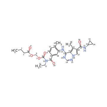 CCCC(=O)OCOC(=O)N(CC)C(=O)c1ccc(C)c(Nc2ncnn3cc(C(=O)NC4CC4)c(C)c23)c1